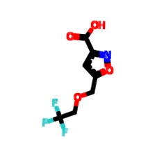 O=C(O)c1cc(COCC(F)(F)F)on1